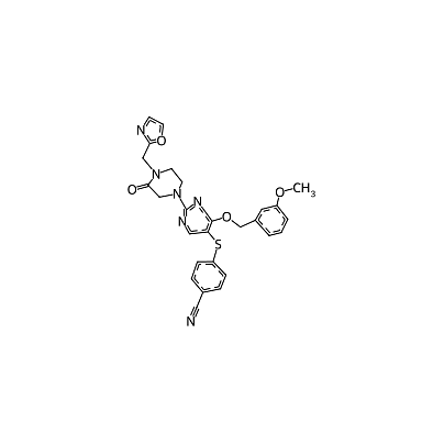 COc1cccc(COc2nc(N3CCN(Cc4ncco4)C(=O)C3)ncc2Sc2ccc(C#N)cc2)c1